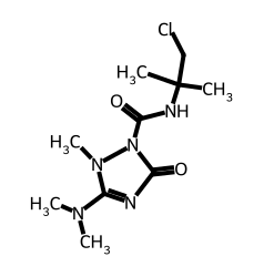 CN(C)c1nc(=O)n(C(=O)NC(C)(C)CCl)n1C